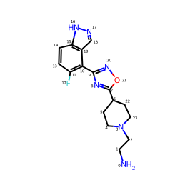 NCCN1CCC(c2nc(-c3c(F)ccc4[nH]ncc34)no2)CC1